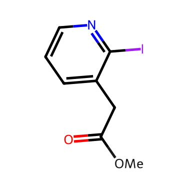 COC(=O)Cc1cccnc1I